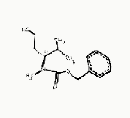 CC(C)[C@@H](CCO)N(C)C(=O)OCc1ccccc1